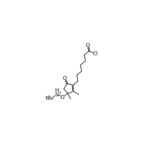 CC1=C(CCCCCCC(=O)Cl)C(=O)CC1(C)O[SiH2]C(C)(C)C